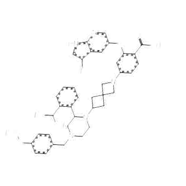 COc1ccc(CN2CCN(C3CC4(C3)CN(c3ccc(C(=O)O)c(Oc5cnc6[nH]cc(F)c6c5)c3)C4)C(c3ccccc3C(C)C)C2)cc1